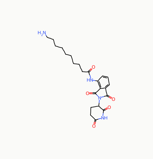 NCCCCCCCCCC(=O)Nc1cccc2c1C(=O)N(C1CCC(=O)NC1=O)C2=O